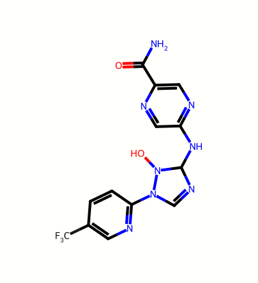 NC(=O)c1cnc(NC2N=CN(c3ccc(C(F)(F)F)cn3)N2O)cn1